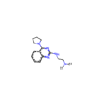 CCN(CC)CCNc1nc(N2CCCC2)c2ccccc2n1